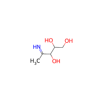 CC(=N)C(O)C(O)CO